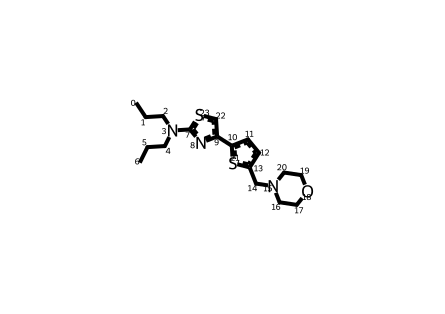 CCCN(CCC)c1nc(-c2ccc(CN3CCOCC3)s2)cs1